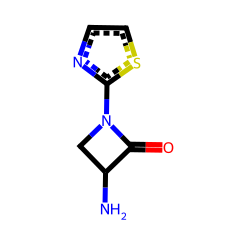 NC1CN(c2nccs2)C1=O